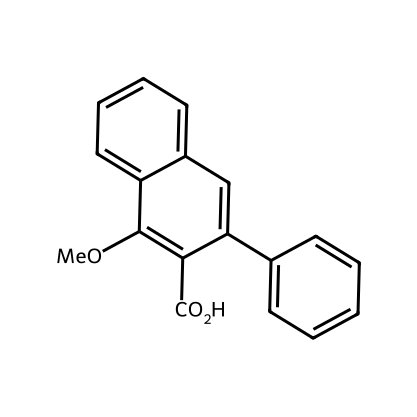 COc1c(C(=O)O)c(-c2ccccc2)cc2ccccc12